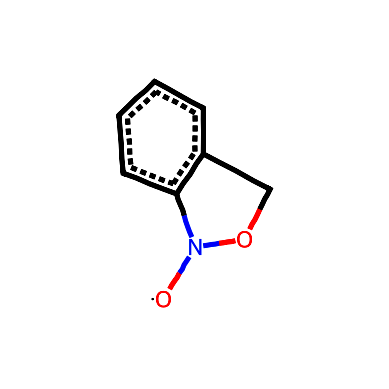 [O]N1OCc2ccccc21